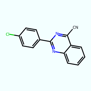 N#Cc1nc(-c2ccc(Cl)cc2)nc2ccccc12